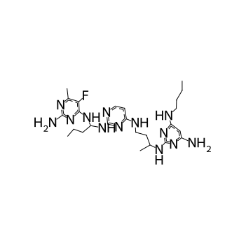 CCCCNc1cc(N)nc(NC(C)CCNc2ccnc(NC(CCC)Nc3nc(N)nc(C)c3F)n2)n1